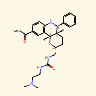 COC(=O)c1ccc2c(c1)[C@H]1O[C@@H](CNC(=O)NCCN(C)C)CC[C@H]1[C@H](c1ccccc1)N2